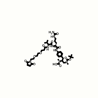 CC(C)[C@H](NC(=O)CCOCCOCCN1C(=O)C=CC1=O)C(=O)N[C@@H](CCCNC(N)=O)C(=O)Nc1ccc(CC(CN(C)C(=O)OC(C)(C)C)N(C)C(=O)O)cc1